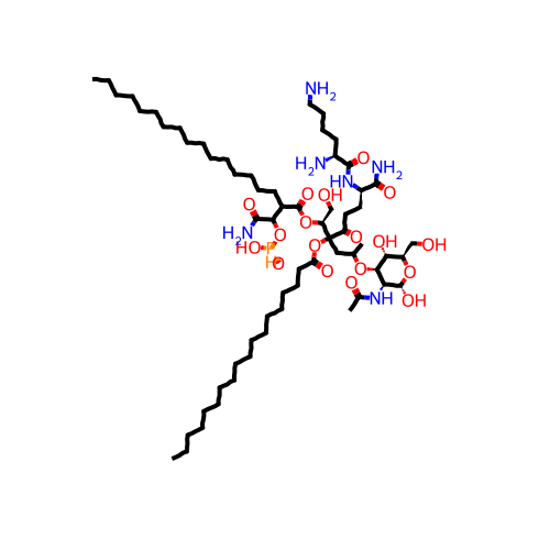 CCCCCCCCCCCCCCCCCC(=O)OC(CC(C)O[C@H]1[C@H](O)[C@@H](CO)O[C@H](O)[C@@H]1NC(C)=O)(C(=O)CC[C@@H](NC(=O)[C@@H](N)CCCCN)C(N)=O)[C@H](CO)OC(=O)C(CCCCCCCCCCCCCCCC)C(O[PH](=O)O)C(N)=O